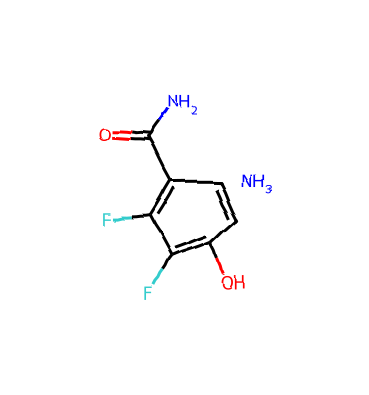 N.NC(=O)c1ccc(O)c(F)c1F